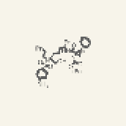 CC[C@@H](CCC[C@@H](CO)N(CCC(C)C)S(=O)(=O)c1ccc(N)cc1)NC(=O)C1(NC(=O)OC(C)(C)C)C[C@@H]1c1ccccc1